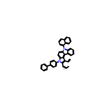 C=Cc1c(/C=C\C)n(-c2ccc(-c3ccccc3)cc2)c2ccc3c(c4ccccc4n3-c3cccc4ccccc34)c12